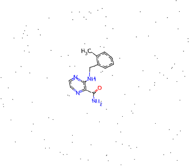 Cc1ccccc1CNc1nccnc1C(N)=O